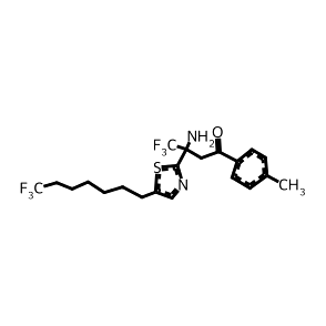 Cc1ccc(C(=O)CC(N)(c2ncc(CCCCCCC(F)(F)F)s2)C(F)(F)F)cc1